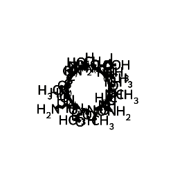 CC(=O)N[C@H]1CSSC[C@@H](C(N)=O)NC(=O)[C@H]([C@@H](C)O)NC(=O)[C@H](Cc2ccc(O)c(I)c2)NC(=O)[C@H](C(C)C)NC(=O)[C@H](CC(C)C)NC(=O)[C@H](CC(N)=O)NC(=O)[C@H](CC(C)C)NC(=O)[C@H](CCC(=O)O)NC(=O)[C@H](CCCCN)NC1=O